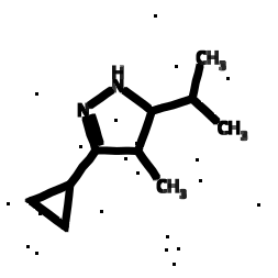 CC(C)C1NN=C(C2CC2)C1C